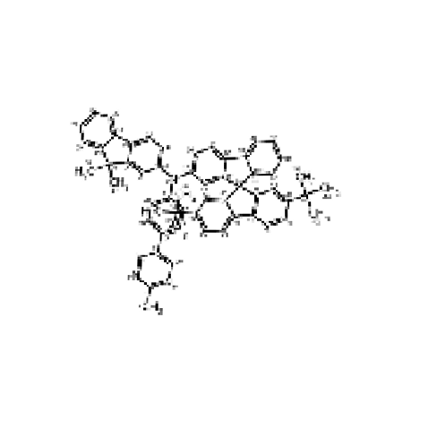 Cc1ncc(-c2ccc(N(c3ccc4c(c3)C(C)(C)c3ccccc3-4)c3ccc4c(c3)C3(c5ccccc5-4)c4cc(C(C)(C)C)ccc4-c4ccc(C(C)(C)C)cc43)cc2)cn1